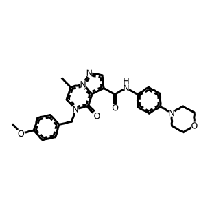 COc1ccc(Cn2cc(C)n3ncc(C(=O)Nc4ccc(N5CCOCC5)cc4)c3c2=O)cc1